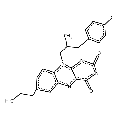 CCCc1ccc2c(c1)nc1c(=O)[nH]c(=O)nc-1n2CC(C)Cc1ccc(Cl)cc1